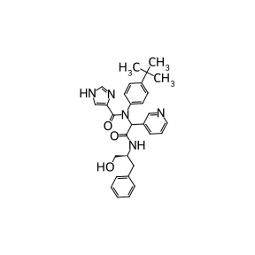 CC(C)(C)c1ccc(N(C(=O)c2c[nH]cn2)C(C(=O)N[C@H](CO)Cc2ccccc2)c2cccnc2)cc1